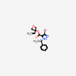 C=CC1(OC(=O)c2c(Br)nnn2[C@H](C)c2ccccc2)COC1